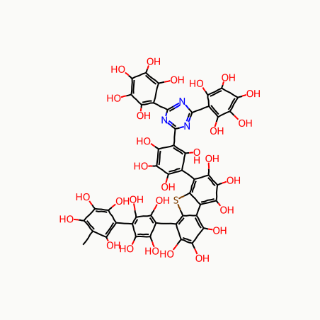 Cc1c(O)c(O)c(O)c(-c2c(O)c(O)c(-c3c(O)c(O)c(O)c4c3sc3c(-c5c(O)c(O)c(O)c(-c6nc(-c7c(O)c(O)c(O)c(O)c7O)nc(-c7c(O)c(O)c(O)c(O)c7O)n6)c5O)c(O)c(O)c(O)c34)c(O)c2O)c1O